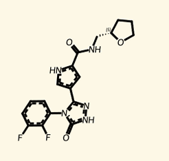 O=C(NC[C@@H]1CCCO1)c1cc(-c2n[nH]c(=O)n2-c2cccc(F)c2F)c[nH]1